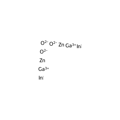 [Ga+3].[Ga+3].[In].[In].[O-2].[O-2].[O-2].[Zn].[Zn]